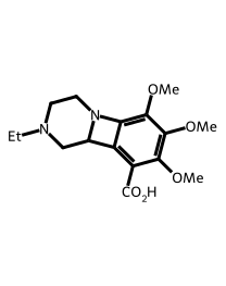 CCN1CCN2c3c(OC)c(OC)c(OC)c(C(=O)O)c3C2C1